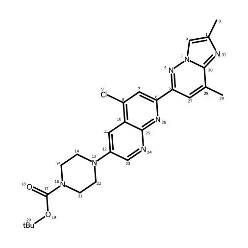 Cc1cn2nc(-c3cc(Cl)c4cc(N5CCN(C(=O)OC(C)(C)C)CC5)cnc4n3)cc(C)c2n1